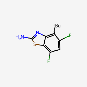 CC(C)(C)c1c(F)cc(F)c2sc(N)nc12